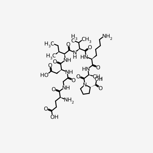 CC[C@H](C)[C@H](NC(=O)[C@H](CC(=O)O)NC(=O)CNC(=O)[C@@H](N)CCC(=O)O)C(=O)N[C@H](C(=O)N[C@@H](CCCCN)C(=O)N[C@@H](C)C(=O)N1CCC[C@H]1C(=O)O)C(C)C